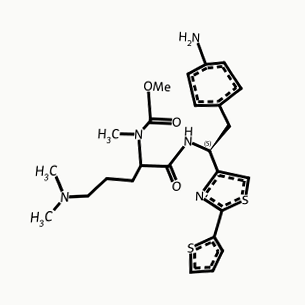 COC(=O)N(C)C(CCCN(C)C)C(=O)N[C@@H](Cc1ccc(N)cc1)c1csc(-c2cccs2)n1